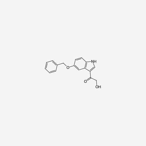 O=C(CO)c1c[nH]c2ccc(OCc3ccccc3)cc12